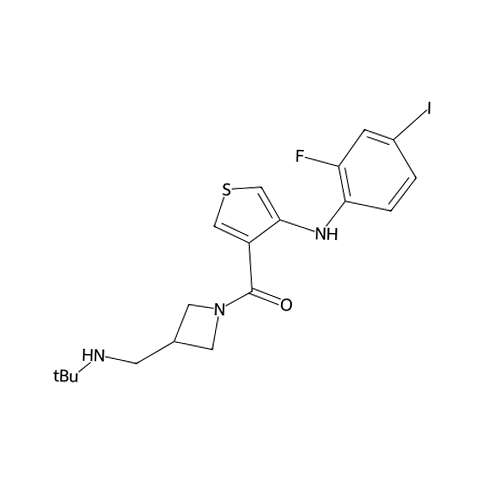 CC(C)(C)NCC1CN(C(=O)c2cscc2Nc2ccc(I)cc2F)C1